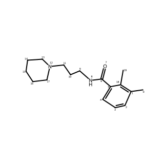 Cc1cccc(C(=O)NCCCN2CCCCC2)c1C